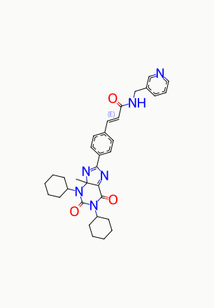 CC12N=C(c3ccc(/C=C/C(=O)NCc4cccnc4)cc3)N=C1C(=O)N(C1CCCCC1)C(=O)N2C1CCCCC1